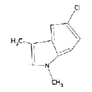 Cc1[c]n(C)c2ccc(Cl)cc12